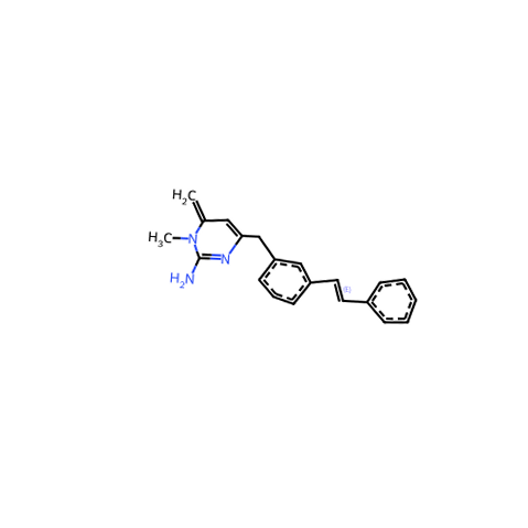 C=C1C=C(Cc2cccc(/C=C/c3ccccc3)c2)N=C(N)N1C